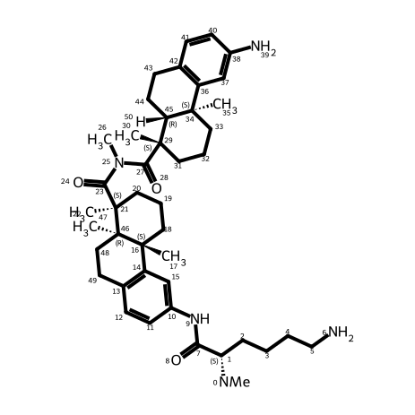 CN[C@@H](CCCCN)C(=O)Nc1ccc2c(c1)[C@@]1(C)CCC[C@](C)(C(=O)N(C)C(=O)[C@@]3(C)CCC[C@]4(C)c5cc(N)ccc5CC[C@@H]34)[C@]1(C)CC2